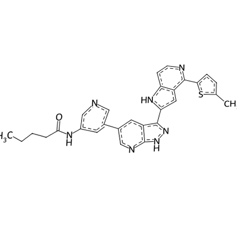 CCCCC(=O)Nc1cncc(-c2cnc3[nH]nc(-c4cc5c(-c6ccc(C)s6)nccc5[nH]4)c3c2)c1